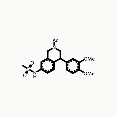 COc1ccc(C2CN(C(C)=O)Cc3cc(NS(C)(=O)=O)ccc32)cc1OC